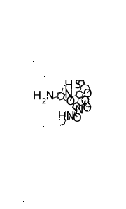 CCCCNC(=O)c1ccc(-c2cc3c(cc2C(=O)Nc2c(C)cc(CN)cc2C)-c2sccc2CCO3)c(C(=O)OC)n1